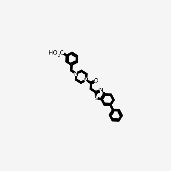 O=C(O)c1cccc(CN2CCN(C(=O)Cc3nc4c(s3)C=C(c3ccccc3)CC4)CC2)c1